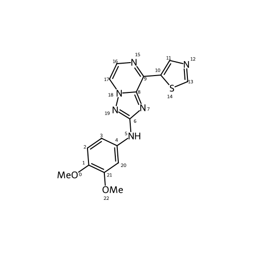 COc1ccc(Nc2nc3c(-c4cncs4)nccn3n2)cc1OC